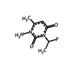 Cc1cc(=O)n(C(C)F)c(=O)n1N